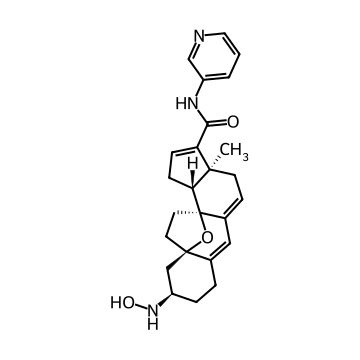 C[C@]12CC=C3C=C4CC[C@@H](NO)C[C@]45CC[C@]3(O5)[C@@H]1CC=C2C(=O)Nc1cccnc1